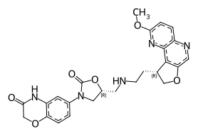 COc1ccc2ncc3c(c2n1)[C@@H](CCNC[C@@H]1CN(c2ccc4c(c2)NC(=O)CO4)C(=O)O1)CO3